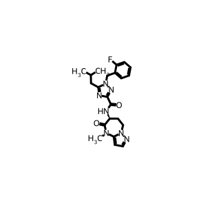 CC(C)Cc1nc(C(=O)N[C@H]2CCn3nccc3N(C)C2=O)nn1Cc1ccccc1F